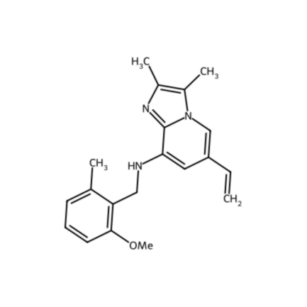 C=Cc1cc(NCc2c(C)cccc2OC)c2nc(C)c(C)n2c1